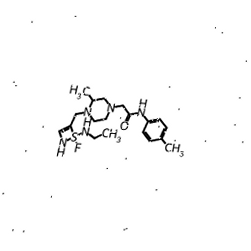 CCNS1(F)NC=C1CN1CCN(CC(=O)Nc2ccc(C)cc2)CC1C